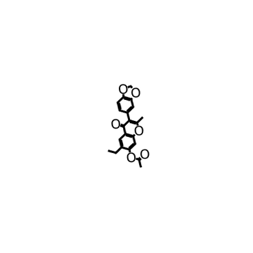 CCc1cc2c(=O)c(-c3ccc4c(c3)OCO4)c(C)oc2cc1OC(C)=O